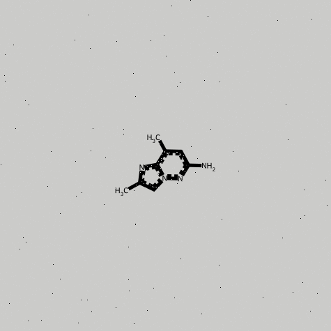 Cc1cn2nc(N)cc(C)c2n1